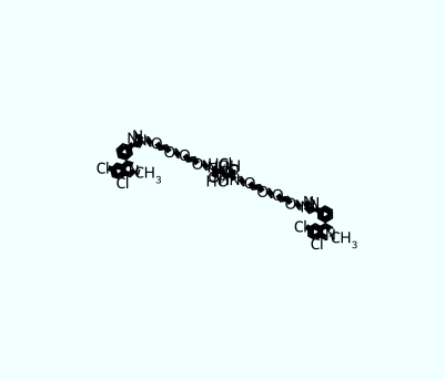 CN1Cc2c(Cl)cc(Cl)cc2[C@H](c2cccc(-c3cn(CCOCCOCCOCCOCCNC(=O)[C@H](O)[C@@H](O)C(=O)NCCOCCOCCOCCOCCn4cc(-c5cccc([C@@H]6CN(C)Cc7c(Cl)cc(Cl)cc76)c5)nn4)nn3)c2)C1.Cl